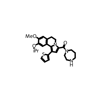 COc1cc2c(cc1OC(C)C)-c1c(-c3cccs3)cc(C(=O)N3CCCNCC3)n1CC2